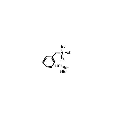 Br.Br.CC[N+](CC)(CC)Cc1ccccc1.Cl